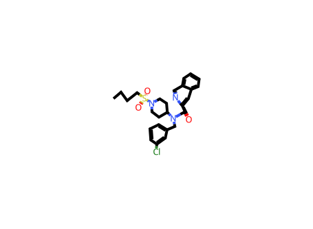 CCCCS(=O)(=O)N1CCC(N(Cc2cccc(Cl)c2)C(=O)c2cc3ccccc3cn2)CC1